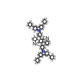 N#Cc1c(-c2ccccc2)c(-c2ccc(-n3c4ccc(-c5ccccc5)cc4c4cc(-c5ccccc5)ccc43)cc2)c(C#N)c(-c2ccccc2)c1-c1ccc(-n2c3ccc(-c4ccccc4)cc3c3cc(-c4ccccc4)ccc32)cc1